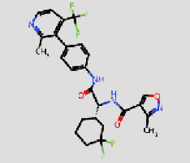 Cc1nocc1C(=O)NC(C(=O)Nc1ccc(-c2c(C(F)(F)F)ccnc2C)cc1)[C@H]1CCCC(F)(F)C1